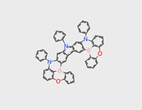 c1ccc(N2c3cc4c(cc3B3c5ccccc5Oc5cccc2c53)c2cc3c(cc2n4-c2ccccc2)N(c2ccccc2)c2cccc4c2B3c2ccccc2O4)cc1